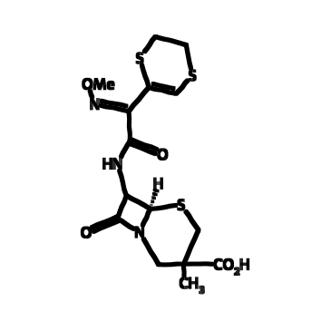 CON=C(C(=O)NC1C(=O)N2CC(C)(C(=O)O)CS[C@H]12)C1=CSCCS1